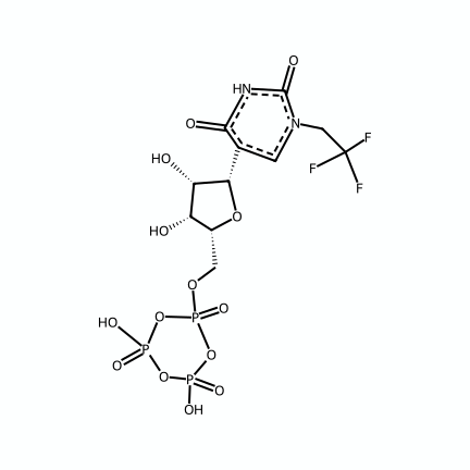 O=c1[nH]c(=O)n(CC(F)(F)F)cc1[C@@H]1O[C@H](COP2(=O)OP(=O)(O)OP(=O)(O)O2)[C@H](O)[C@@H]1O